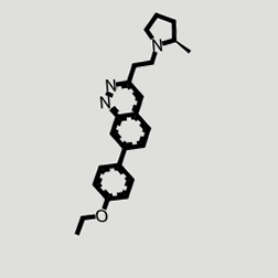 CCOc1ccc(-c2ccc3cc(CCN4CCC[C@H]4C)nnc3c2)cc1